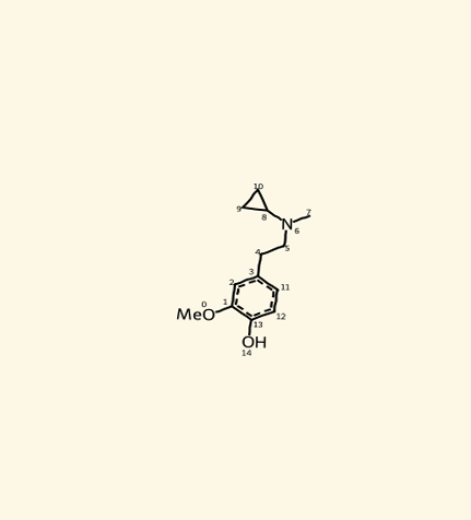 COc1cc(CCN(C)C2CC2)ccc1O